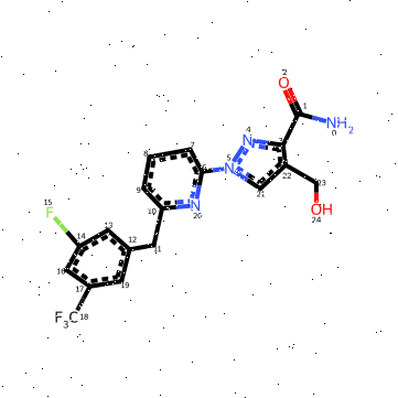 NC(=O)c1nn(-c2cccc(Cc3cc(F)cc(C(F)(F)F)c3)n2)cc1CO